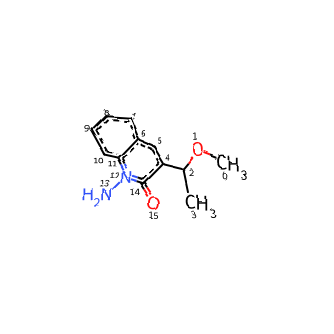 COC(C)c1cc2ccccc2n(N)c1=O